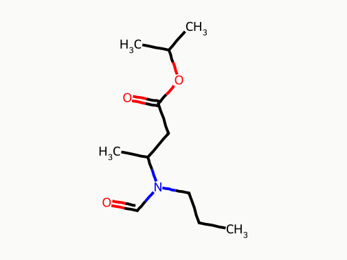 CCCN(C=O)C(C)CC(=O)OC(C)C